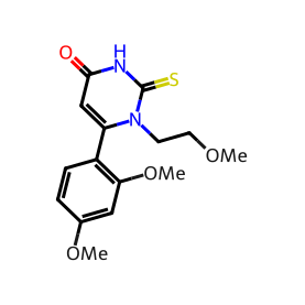 COCCn1c(-c2ccc(OC)cc2OC)cc(=O)[nH]c1=S